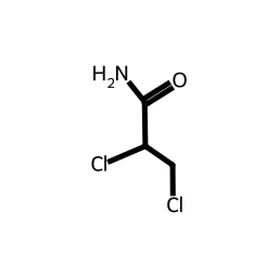 NC(=O)C(Cl)CCl